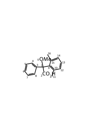 COC(C(=O)O)(c1ccccc1)c1c(C)cccc1C